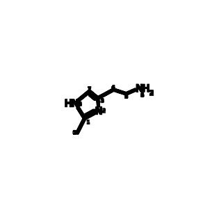 Cc1nc(CCN)c[nH]1